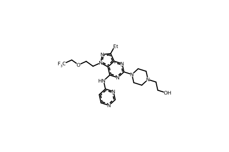 CCc1nn(CCOCC(F)(F)F)c2c(Nc3ccncn3)nc(N3CCN(CCO)CC3)nc12